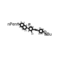 CCCCCc1ccc2cc(-c3cc(C)c(C#Cc4ccc(OCCCC)cc4)cc3F)ccc2c1